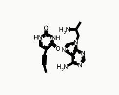 CC#Cc1c[nH]c(=O)[nH]c1=O.CC(N)Cn1cnc2c(N)ncnc21